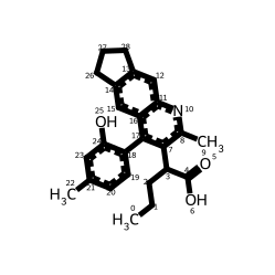 CCCC(C(=O)O)c1c(C)nc2cc3c(cc2c1-c1ccc(C)cc1O)CCC3